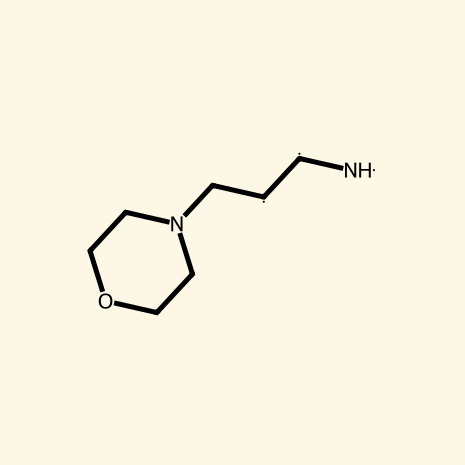 [NH][CH][CH]CN1CCOCC1